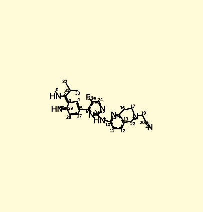 CN/C(=C1/C=C(c2nc(Nc3ccc4c(n3)CCN(CC#N)C4)ncc2F)C=CC1=N)C(C)C